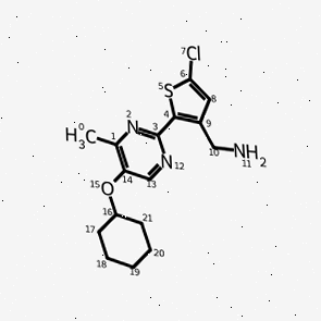 Cc1nc(-c2sc(Cl)cc2CN)ncc1OC1CCCCC1